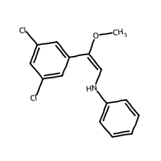 CO/C(=C/Nc1ccccc1)c1cc(Cl)cc(Cl)c1